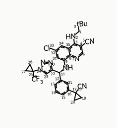 CC(C)(C)CNc1c(C#N)cnc2c(N[C@@H](c3cccc(C4(C#N)CC4)c3)c3cn(C4(C(F)(F)F)CC4)nn3)cc(Cl)cc12